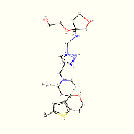 CCc1cc2c(s1)CCO[C@@]21CCN(Cc2cn(CNC3(OCCO)CCOC3)nn2)[C@@H](C)C1